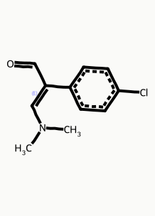 CN(C)/C=C(/C=O)c1ccc(Cl)cc1